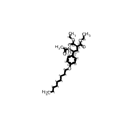 CCCCCCCCCOc1ccc(C(CC(C(=O)OCC)C(=O)OCC)NC(C)=O)cc1